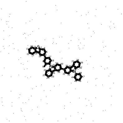 Cc1cc(-c2ccc3sc4ccccc4c3c2)ccc1-n1c2ccccc2c2cc(-c3ccc4c(c3)c3ccccc3n4-c3ccccc3)ccc21